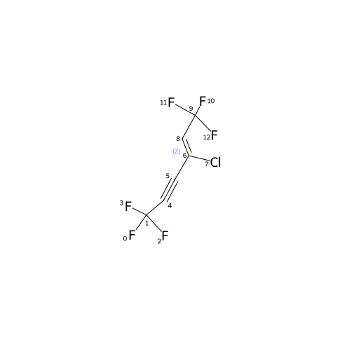 FC(F)(F)C#C/C(Cl)=C/C(F)(F)F